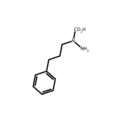 NN(CCCc1ccccc1)C(=O)O